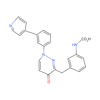 O=C(O)Nc1cccc(Cc2nn(-c3cccc(-c4ccncc4)c3)ccc2=O)c1